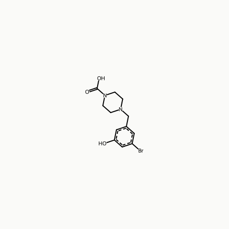 O=C(O)N1CCN(Cc2cc(O)cc(Br)c2)CC1